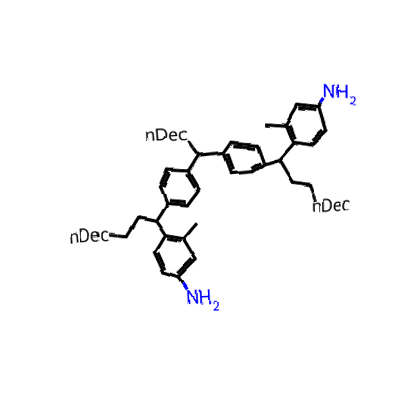 CCCCCCCCCCCCC(c1ccc(C(CCCCCCCCCC)c2ccc(C(CCCCCCCCCCCC)c3ccc(N)cc3C)cc2)cc1)c1ccc(N)cc1C